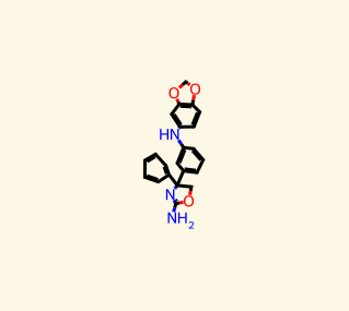 NC1=NC(c2ccccc2)(c2cccc(Nc3ccc4c(c3)OCO4)c2)CO1